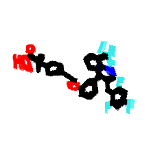 CC(C)(C(=O)O)c1ccc(COc2cccc(-c3c(Cc4c(F)cc(F)cc4F)cnc4c(C(F)(F)F)cccc34)c2)cc1